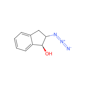 [N-]=[N+]=NC1Cc2ccccc2[C@@H]1O